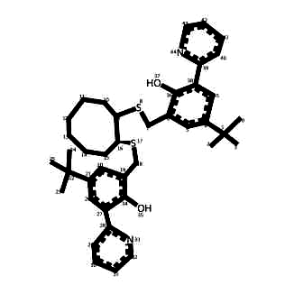 CC(C)(C)c1cc(CSC2CCCCCC[C@@H]2SCc2cc(C(C)(C)C)cc(-c3ccccn3)c2O)c(O)c(-c2ccccn2)c1